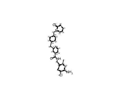 Cc1nc(N)c(Cl)cc1CNC(=O)c1ccnc(Cc2ccc(Cn3ccccc3=O)cc2)c1